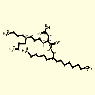 CCCCCCCCC(CCCCCC)COC(=O)C(CC(=O)O)NCCCN(CCCC)CCCC